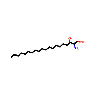 CCCCCCCCCCCCCCCCC[C@@H](O)C(N)=CO